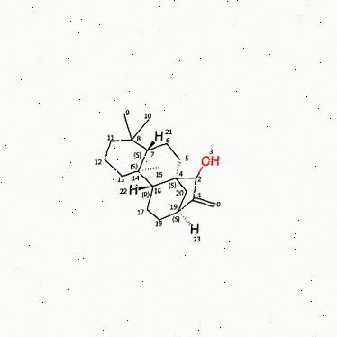 C=C1C(O)[C@]23CC[C@H]4C(C)(C)CCC[C@]4(C)[C@H]2CC[C@H]1C3